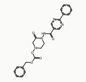 O=C(OCc1ccccc1)ON1CCN(NC(=O)c2cnc(-c3ccccc3)nc2)C(=O)C1